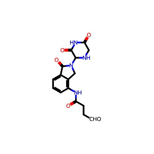 O=CCCC(=O)Nc1cccc2c1CN(C1NCC(=O)NC1=O)C2=O